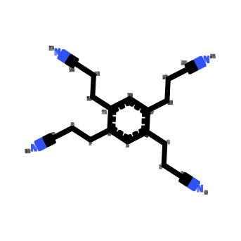 N#CCCc1cc(CCC#N)c(CCC#N)cc1CCC#N